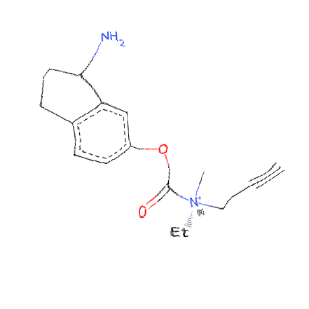 C#CC[N@@+](C)(CC)C(=O)Oc1ccc2c(c1)C(N)CC2